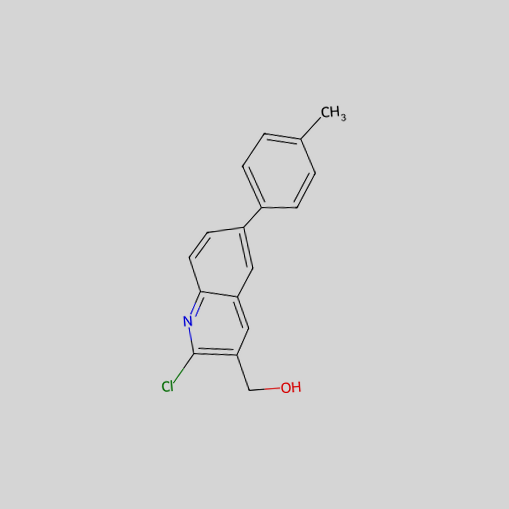 Cc1ccc(-c2ccc3nc(Cl)c(CO)cc3c2)cc1